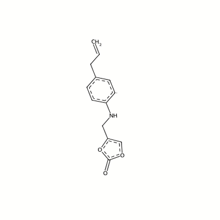 C=CCc1c[c]c(NCc2coc(=O)o2)cc1